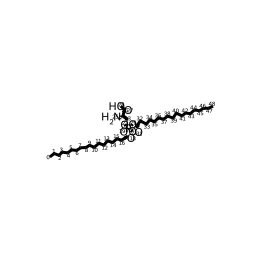 CCCCCCCCCCCCCCCCCC(=O)OP(=O)(OC[C@H](N)C(=O)O)OC(=O)CCCCCCCCCCCCCCCCC